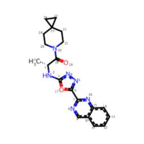 C[C@@H](Nc1nnc(-c2ncc3ccccc3n2)o1)C(=O)N1CCC2(CC1)CC2